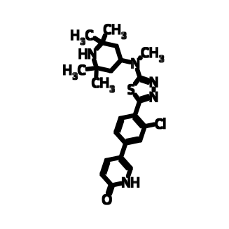 CN(c1nnc(-c2ccc(-c3ccc(=O)[nH]c3)cc2Cl)s1)C1CC(C)(C)NC(C)(C)C1